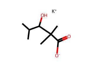 CC(C)C(O)C(C)(C)C(=O)[O-].[K+]